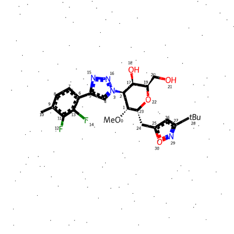 CO[C@@H]1[C@@H](n2cc(-c3ccc(C)c(F)c3F)nn2)[C@@H](O)[C@@H](CO)O[C@@H]1Cc1cc(C(C)(C)C)no1